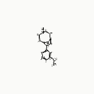 CC(C)Oc1cncc(C2CC3CCNCCC2C3)c1